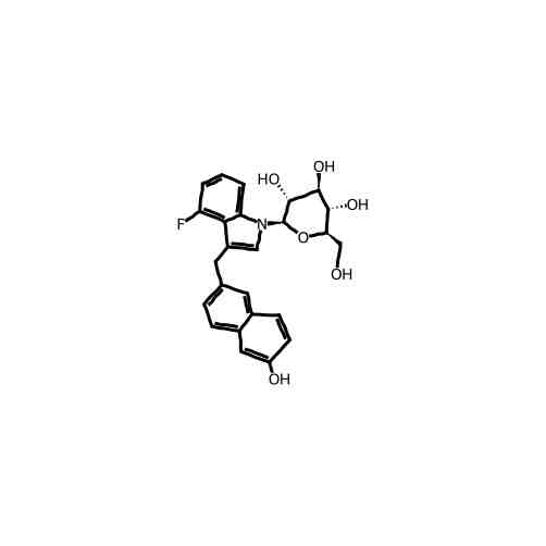 OC[C@H]1O[C@@H](n2cc(Cc3ccc4cc(O)ccc4c3)c3c(F)cccc32)[C@H](O)[C@@H](O)[C@@H]1O